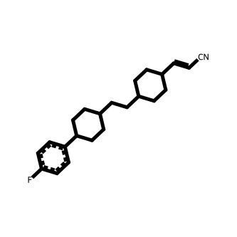 N#CC=CC1CCC(CCC2CCC(c3ccc(F)cc3)CC2)CC1